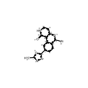 Cc1nnc(-c2ccc3c(C(C)C)nc4cc[nH]c(=O)c4c3c2)o1